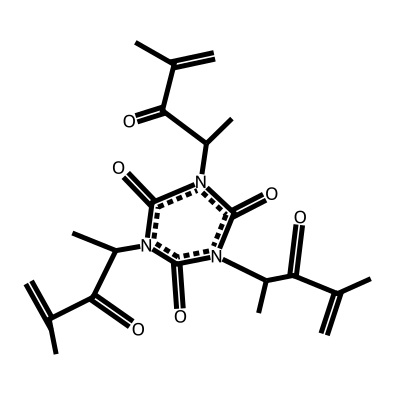 C=C(C)C(=O)C(C)n1c(=O)n(C(C)C(=O)C(=C)C)c(=O)n(C(C)C(=O)C(=C)C)c1=O